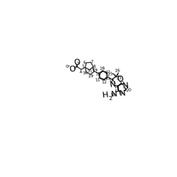 COC(=O)CC12CCC(=C(c3ccc(C4=Nc5c(N)ncnc5OC4(C)C)cc3)CC1)C2